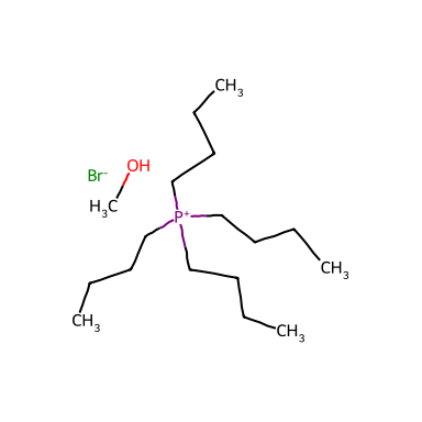 CCCC[P+](CCCC)(CCCC)CCCC.CO.[Br-]